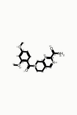 COc1ccc(C(=O)N2CCc3[c]nc(C(N)=O)nc3C2)c(OC)c1